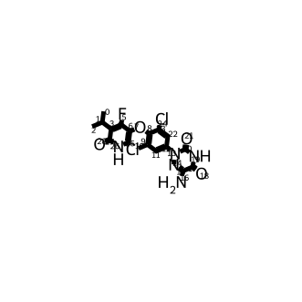 CC(C)c1c(F)c(Oc2c(Cl)cc(-n3nc(N)c(=O)[nH]c3=O)cc2Cl)c[nH]c1=O